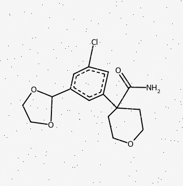 NC(=O)C1(c2cc(Cl)cc(C3OCCO3)c2)CCOCC1